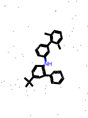 Cc1cccc(C)c1-c1cccc(Nc2ccc(C(C)(C)C)cc2-c2ccccc2)c1